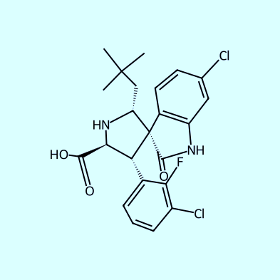 CC(C)(C)C[C@H]1N[C@H](C(=O)O)[C@@H](c2cccc(Cl)c2F)[C@@]12C(=O)Nc1cc(Cl)ccc12